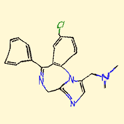 CN(C)Cc1cnc2n1-c1ccc(Cl)cc1C(c1ccccc1)=NC2